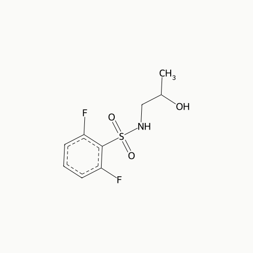 CC(O)CNS(=O)(=O)c1c(F)cccc1F